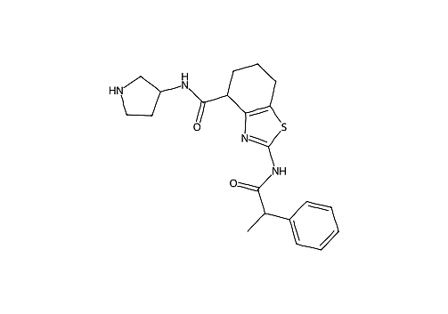 CC(C(=O)Nc1nc2c(s1)CCCC2C(=O)NC1CCNC1)c1ccccc1